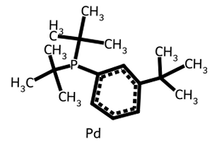 CC(C)(C)c1cccc(P(C(C)(C)C)C(C)(C)C)c1.[Pd]